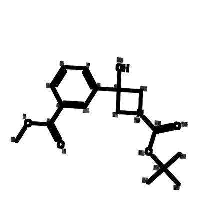 COC(=O)c1cccc(C2(O)CN(C(=O)OC(C)(C)C)C2)c1